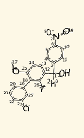 [2H]C(O)(c1ccc([N+](=O)[O-])cc1)c1ccc(OC)c(-c2cccc(Cl)c2)c1F